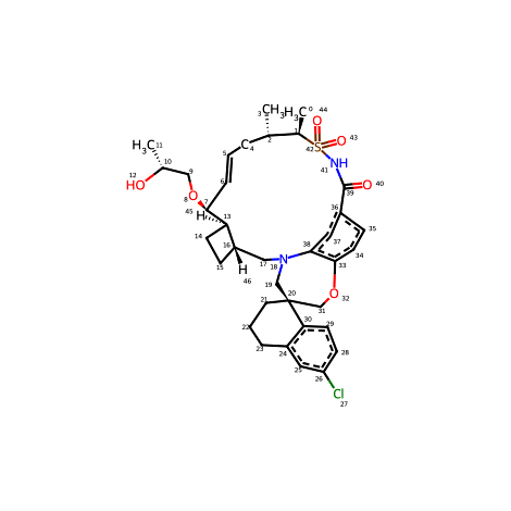 C[C@@H]1[C@@H](C)C/C=C/[C@H](OC[C@@H](C)O)[C@@H]2CC[C@H]2CN2C[C@@]3(CCCc4cc(Cl)ccc43)COc3ccc(cc32)C(=O)NS1(=O)=O